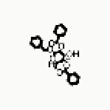 O=C(O[C@H]1[C@H](OCc2ccccc2)O[C@@H]2COC(c3ccccc3)O[C@@H]2[C@@H]1O)c1ccccc1